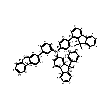 CC1(C)c2ccccc2-c2cccc(-c3ccc(N(c4cccc(-c5ccc6c(c5)sc5ccccc56)c4)c4ccc5c(c4)C(C)(c4ccccc4)c4ccccc4-5)cc3)c21